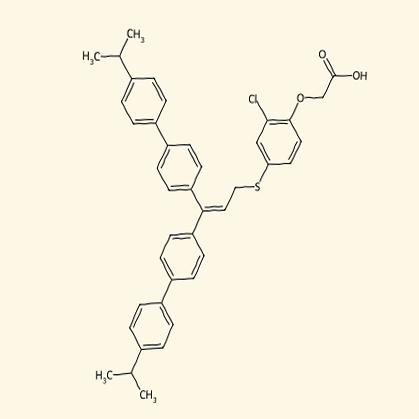 CC(C)c1ccc(-c2ccc(C(=CCSc3ccc(OCC(=O)O)c(Cl)c3)c3ccc(-c4ccc(C(C)C)cc4)cc3)cc2)cc1